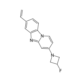 C=Cc1ccc2c(c1)nc1cc(N3CC(F)C3)ccn12